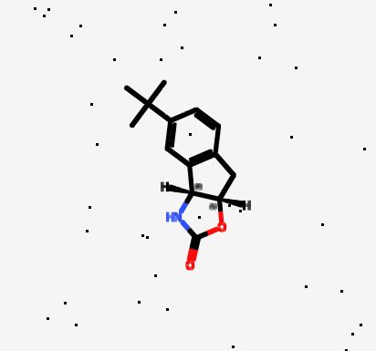 CC(C)(C)c1ccc2c(c1)[C@H]1NC(=O)O[C@H]1C2